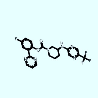 O=C(Oc1ccc(F)cc1-c1ncccn1)N1CCCC(Nc2cnc(C(F)(F)F)cn2)C1